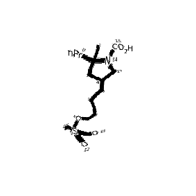 CCCC1(C)CC(CCCOS(C)(=O)=O)CN1C(=O)O